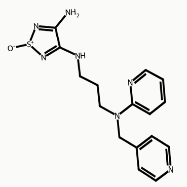 Nc1n[s+]([O-])nc1NCCCN(Cc1ccncc1)c1ccccn1